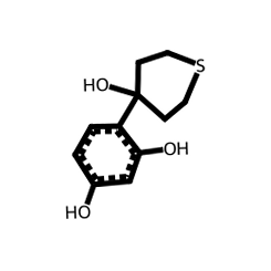 Oc1ccc(C2(O)CCSCC2)c(O)c1